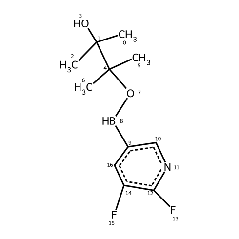 CC(C)(O)C(C)(C)OBc1cnc(F)c(F)c1